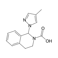 Cc1cnn(C2c3ccccc3CCN2C(=O)O)c1